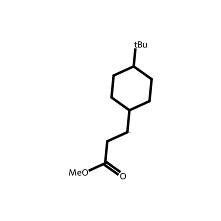 COC(=O)C[CH]C1CCC(C(C)(C)C)CC1